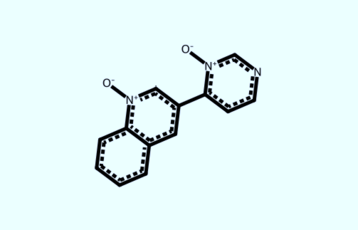 [O-][n+]1cnccc1-c1[c][n+]([O-])c2ccccc2c1